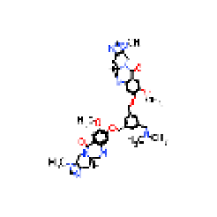 COc1cc2c(cc1OCc1cc(COc3cc4c(cc3OC)C(=O)N3Cc5c(ncn5C)C[C@H]3C=N4)cc(CN(C)C)c1)N=C[C@@H]1Cc3ncn(C)c3CN1C2=O